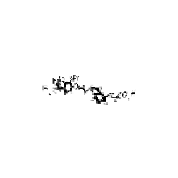 CCCc1c(OCCCn2ccc3c(OCC(=O)O)cccc32)ccc2c(C(F)(F)F)noc12